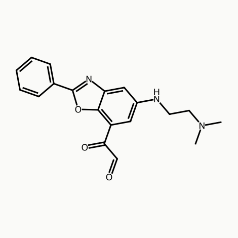 CN(C)CCNc1cc(C(=O)C=O)c2oc(-c3ccccc3)nc2c1